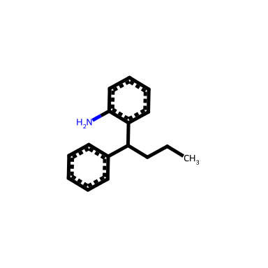 CCCC(c1ccccc1)c1ccccc1N